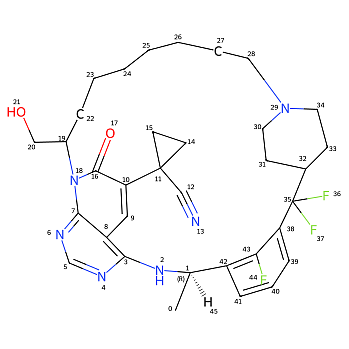 C[C@H]1Nc2ncnc3c2cc(C2(C#N)CC2)c(=O)n3C(CO)CCCCCCCN2CCC(CC2)C(F)(F)c2cccc1c2F